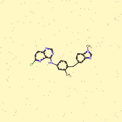 Cc1cc(Nc2ncnc3ccc(Cl)nc23)ccc1Cc1ccc2c(c1)ncn2C